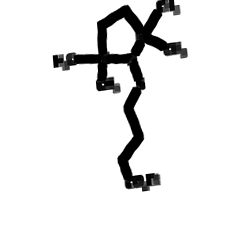 CCOC(=O)CCCSN1[Si](C)(C)CC[Si]1(C)C